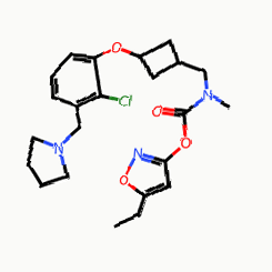 CCc1cc(OC(=O)N(C)CC2CC(Oc3cccc(CN4CCCC4)c3Cl)C2)no1